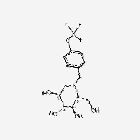 OC[C@@H]1[C@@H](O)[C@H](O)[C@@H](O)CN1Cc1ccc(OC(F)(F)F)cc1